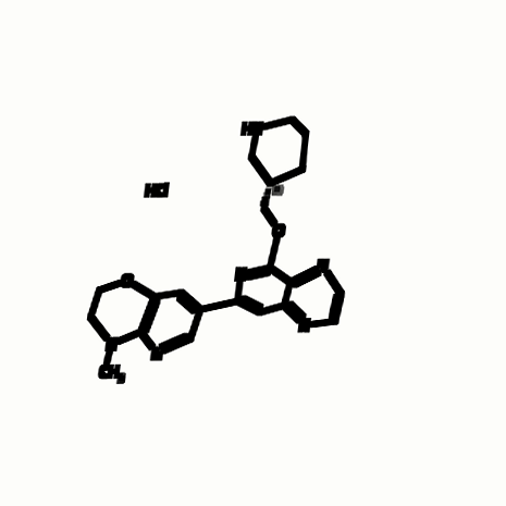 CN1CCOc2cc(-c3cc4nccnc4c(OC[C@H]4CCCNC4)n3)cnc21.Cl